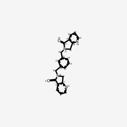 O=C1c2cccnc2CN1Cc1cccc(CN2Cc3ncccc3C2=O)c1